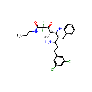 CC(C)[C@H](C(=O)C(F)(F)C(=O)NCCC(F)(F)F)C(N)[C@@H](Cc1ccccc1)C(N)CCc1cc(Cl)cc(Cl)c1